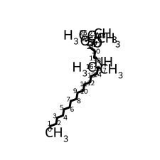 CCCCCCCCCCCCCCCC(C)(C)NCCC[Si](OC)(OC)OC